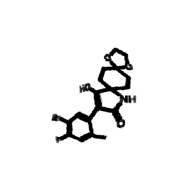 Cc1cc(F)c(Br)cc1C1=C(O)C2(CCC3(CC2)OCCO3)NC1=O